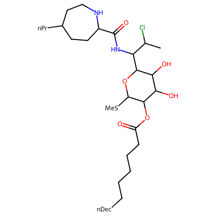 CCCCCCCCCCCCCCCC(=O)OC1C(SC)OC(C(NC(=O)C2CCC(CCC)CCN2)C(C)Cl)C(O)C1O